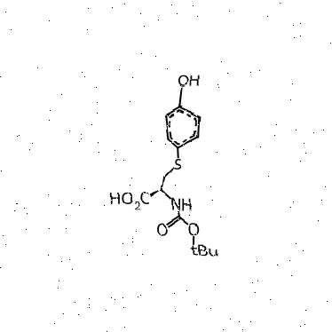 CC(C)(C)OC(=O)N[C@H](CSc1ccc(O)cc1)C(=O)O